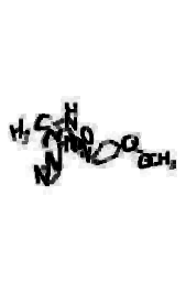 COCCOC1CCC(NC(=O)c2nc(-n3ccnc3)nc3c(C)c[nH]c23)CC1